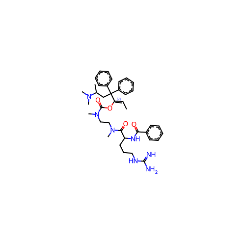 C/C=C(\OC(=O)N(C)CCN(C)C(=O)C(CCCNC(=N)N)NC(=O)c1ccccc1)C(CC(C)N(C)C)(c1ccccc1)c1ccccc1